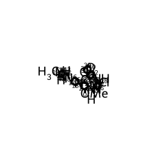 COc1cc(N2CCC(N3C[C@H]4CN(C)C[C@H]4C3)CC2)c(C)cc1Nc1ncc(Cl)c(Nc2[c]c3c(cc2)OCCO3)n1